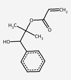 C=CC(=O)OC(C)(C)C(O)c1ccccc1